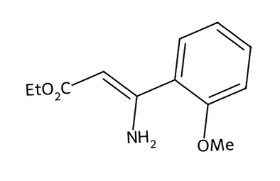 CCOC(=O)C=C(N)c1ccccc1OC